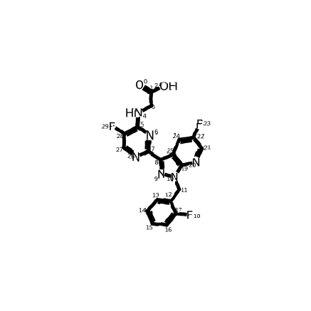 O=C(O)CNc1nc(-c2nn(Cc3ccccc3F)c3ncc(F)cc23)ncc1F